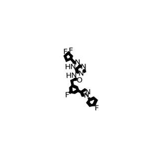 O=C(Cc1cc(F)cc(-c2cnn(-c3ccc(F)cc3)c2)c1)Nc1ncnc2nc(C3CCC(F)(F)C3)[nH]c12